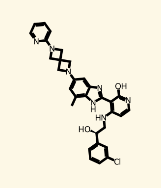 Cc1cc(N2CC3(C2)CN(c2ccccn2)C3)cc2nc(-c3c(NC[C@H](O)c4cccc(Cl)c4)ccnc3O)[nH]c12